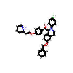 O=C(c1ccc(OCCC2CCCCN2)cc1)C1c2ccc(OCc3ccccc3)cc2CCN1c1ccc(F)cc1